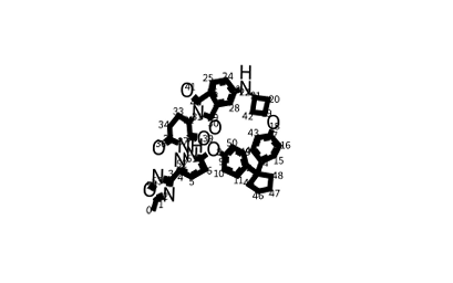 Cc1nc(-c2ccc(Oc3ccc(C4(c5ccc(O[C@H]6C[C@H](Nc7ccc8c(c7)C(=O)N(C7CCC(=O)NC7=O)C8=O)C6)cc5)CCCC4)cc3)nn2)no1